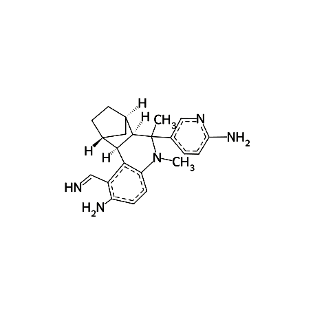 CN1c2ccc(N)c(C=N)c2[C@H]2[C@@H]3CC[C@H](C3)[C@H]2C1(C)c1ccc(N)nc1